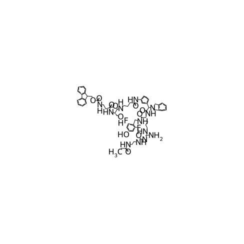 CCC(=O)NCCNC(=O)/N=C(/N)NCCC[C@@H](NC(=O)C(c1cccc(NC(=O)CCCNC(=O)[C@@H](CO)NC(=O)CCNC(=O)OCC2c3ccccc3-c3ccccc32)c1)N1Cc2ccccc2C1)C(=O)NCc1c(F)cc(O)cc1F